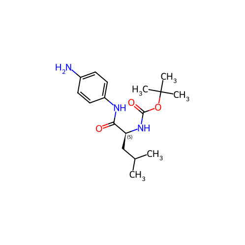 CC(C)C[C@H](NC(=O)OC(C)(C)C)C(=O)Nc1ccc(N)cc1